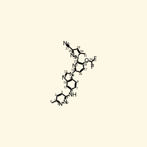 Cc1ccc(Nc2ccc3c(c2)ncn3-c2ccc(OC(F)F)c(-n3nc(C#N)cc3C)n2)nn1